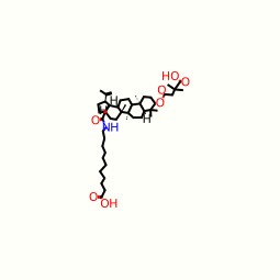 C=C(C)[C@@H]1CCC2(C(=O)NCCCCCCCCCCC(=O)O)CC[C@]3(C)[C@H](CCC4[C@@]5(C)CCC(OC(=O)CC(C)(C)C(=O)O)C(C)(C)[C@@H]5CC[C@]43C)[C@@H]12